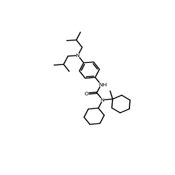 CC(C)CN(CC(C)C)c1ccc(NC(=O)N(C2CCCCC2)C2(C)CCCCC2)cc1